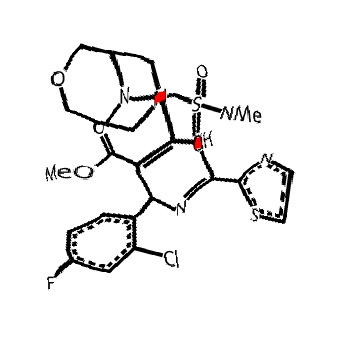 CNS(=O)(=O)N1CC2COCC(C1)N2CC1=C(C(=O)OC)C(c2ccc(F)cc2Cl)N=C(c2nccs2)N1